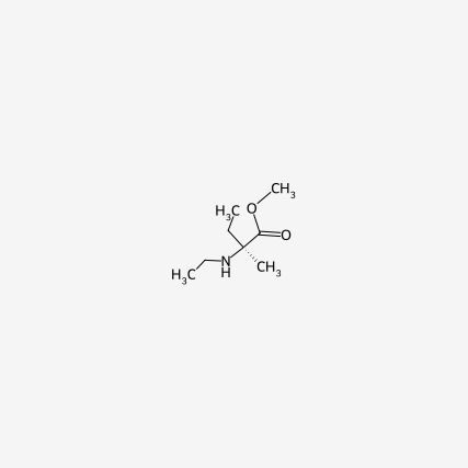 CCN[C@@](C)(CC)C(=O)OC